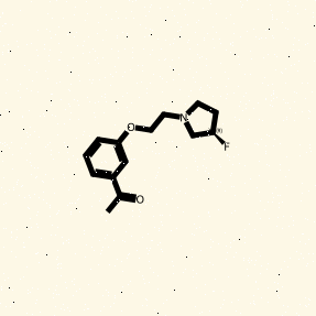 CC(=O)c1cccc(OCCN2CC[C@@H](F)C2)c1